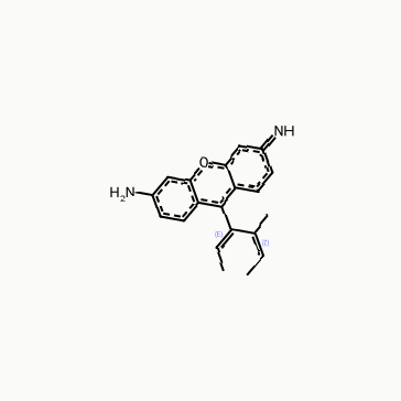 C/C=C(C)\C(=C/C)c1c2ccc(=N)cc-2oc2cc(N)ccc12